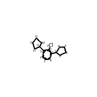 Clc1c(C2CCCC2)cccc1C1CCCC1